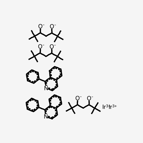 CC(C)(C)C([O-])CC([O-])C(C)(C)C.CC(C)(C)C([O-])CC([O-])C(C)(C)C.CC(C)(C)C([O-])CC([O-])C(C)(C)C.[Ir+3].[Ir+3].c1ccc(-c2nccc3ccccc23)cc1.c1ccc(-c2nccc3ccccc23)cc1